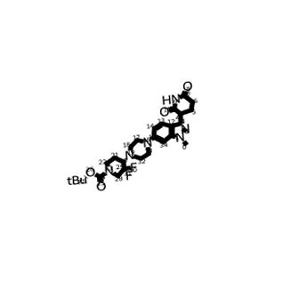 Cn1nc(C2CCC(=O)NC2=O)c2ccc(N3CCN([C@H]4CCN(C(=O)OC(C)(C)C)CC4(F)F)CC3)cc21